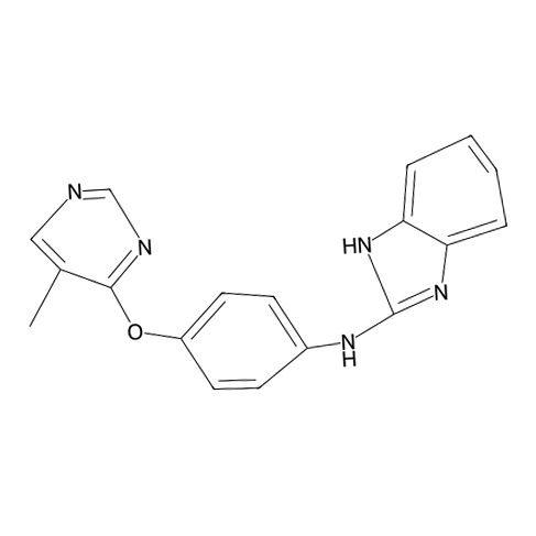 Cc1cncnc1Oc1ccc(Nc2nc3ccccc3[nH]2)cc1